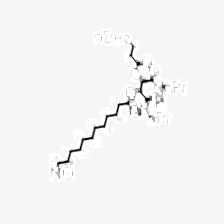 CCCCCCCCCCCCC(=O)O[C@@H](C(=O)NCCC)[C@@H](OC(=O)CCCCCCCCCCCN=O)C(=O)NCCC